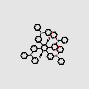 N#Cc1c(-c2cccc(N(c3ccccc3)c3ccccc3)c2)c(-c2cccc(N(c3ccccc3)c3ccccc3)c2)c(C#N)c(-c2cccc(N(c3ccccc3)c3ccccc3)c2)c1-c1cccc(N(c2ccccc2)c2ccccc2)c1